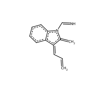 C=C/C=c1\c(=C)n(C=N)c2ccccc12